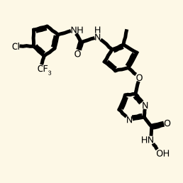 Cc1cc(Oc2ccnc(C(=O)NO)n2)ccc1NC(=O)Nc1ccc(Cl)c(C(F)(F)F)c1